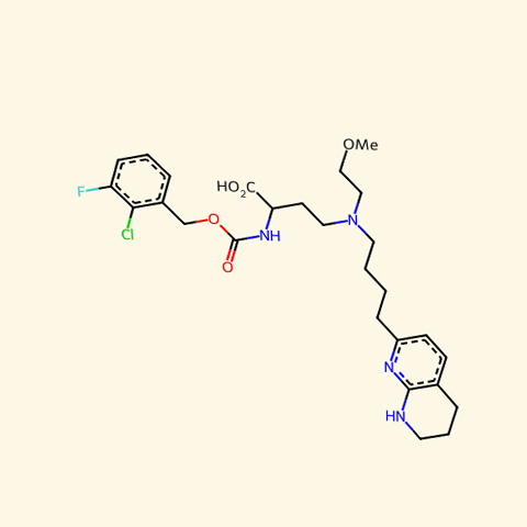 COCCN(CCCCc1ccc2c(n1)NCCC2)CCC(NC(=O)OCc1cccc(F)c1Cl)C(=O)O